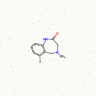 CN1CC(=O)Nc2cccc(F)c2C1